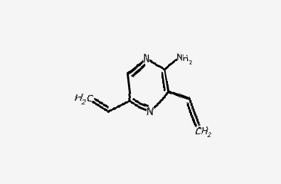 C=Cc1cnc(N)c(C=C)n1